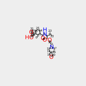 Cc1c(C(=O)NC(C(=O)OCCN2CCC3(CC2)COC3)C(C)C)ccc2c1B(O)OC2